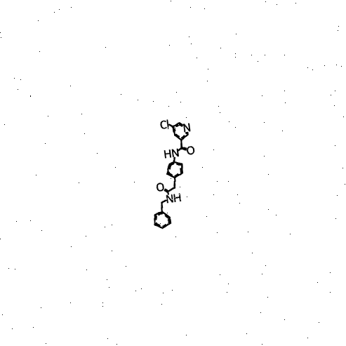 O=C(Cc1ccc(NC(=O)c2cncc(Cl)c2)cc1)NCc1ccccc1